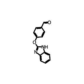 O=Cc1ccc(Oc2nc3ccccc3[nH]2)cc1